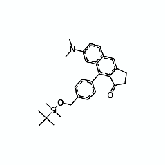 CN(C)c1ccc2cc3c(c(-c4ccc(CO[Si](C)(C)C(C)(C)C)cc4)c2c1)C(=O)CC3